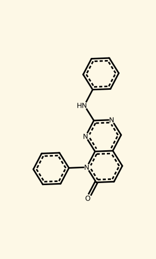 O=c1ccc2cnc(Nc3ccccc3)nc2n1-c1ccccc1